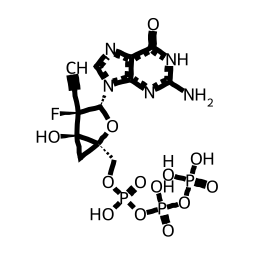 C#C[C@]1(F)[C@H](n2cnc3c(=O)[nH]c(N)nc32)O[C@@]2(COP(=O)(O)OP(=O)(O)OP(=O)(O)O)C[C@@]21O